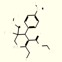 CCOC(=O)C1=C(CCl)NCC(C)(C(=O)OC)C1c1ccc([N+](=O)[O-])cc1